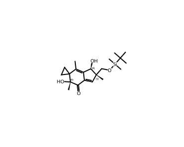 CC1=C2C(=C[C@@](C)(CO[Si](C)(C)C(C)(C)C)[C@@H]2O)C(=O)[C@](C)(O)C12CC2